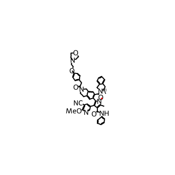 COc1ncc(-c2c(C(=O)Nc3ccccc3)c(C)n(C)c2-c2cc3c(cc2C(=O)N2Cc4ccccc4C[C@H]2C)CN(C(=O)Cc2ccc(OCCN4CCOCC4)cc2)CC3)cc1C#N